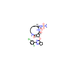 CN1CCCC/C=C\[C@@H]2C[C@@]2(C(=O)NS(=O)(=O)N(C)C)NC(=O)[C@@H]2C[C@@H](Oc3nc(-c4cc(Br)ccc4F)nc4c3CCC4)C[C@H]2C1=O